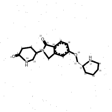 O=C1CCC(N2Cc3cc(OC[C@H]4CCCCN4)ccc3C2=O)CN1